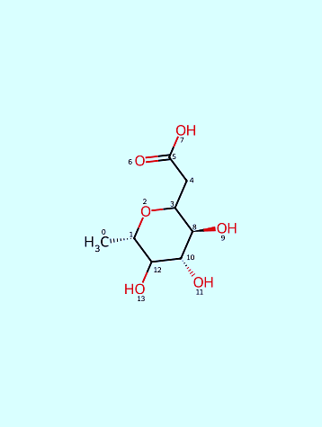 C[C@@H]1OC(CC(=O)O)[C@@H](O)[C@H](O)C1O